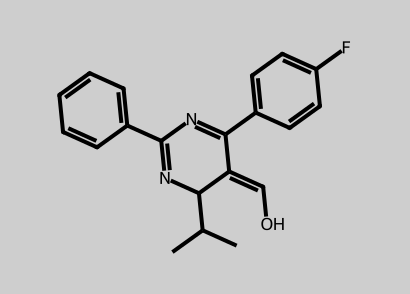 CC(C)C1N=C(c2ccccc2)N=C(c2ccc(F)cc2)C1=CO